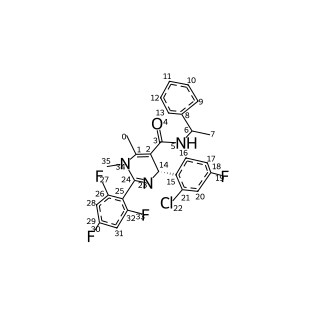 CC1=C(C(=O)NC(C)c2ccccc2)[C@H](c2ccc(F)cc2Cl)N=C(c2c(F)cc(F)cc2F)N1C